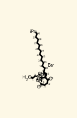 C=CC[N+](C)(C)C1(O)OC(=O)CCC(=O)C1C=CCCCCCCCCCCCCCC(C)C.[Br-]